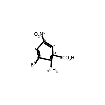 Cc1c(Br)cc([N+](=O)[O-])cc1C(=O)O